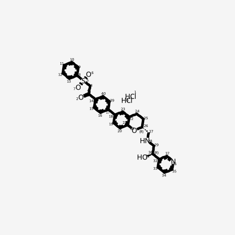 Cl.Cl.O=C(CS(=O)(=O)c1ccccc1)c1ccc(-c2ccc3c(c2)CC[C@H](CNC[C@H](O)c2cccnc2)O3)cc1